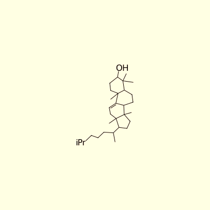 CC(C)CCCC(C)C1CCC2(C)C3CCC4C(C)(CCC(O)C4(C)C)C3=CCC12C